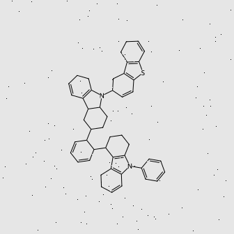 C1=CC(C2CCC3C(C2)C2=C(CCC=C2)N3C2C=Cc3sc4c(c3C2)CCC=C4)C(C2CCCc3c2c2c(n3-c3ccccc3)C=CCC2)C=C1